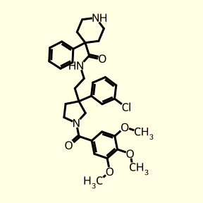 COc1cc(C(=O)N2CCC(CCNC(=O)C3(c4ccccc4)CCNCC3)(c3cccc(Cl)c3)C2)cc(OC)c1OC